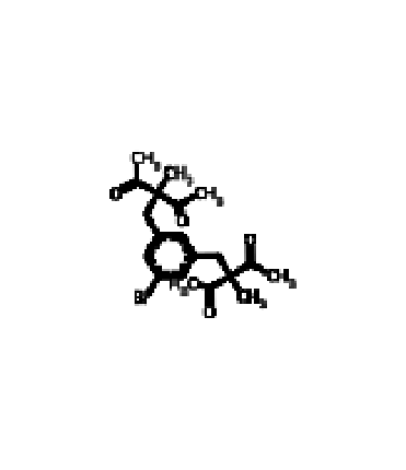 CC(=O)C(C)(Cc1cc(Br)cc(CC(C)(C(C)=O)C(C)=O)c1)C(C)=O